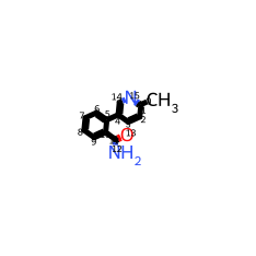 Cc1ccc(-c2ccccc2C(N)=O)cn1